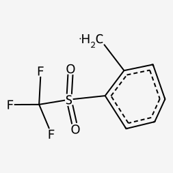 [CH2]c1ccccc1S(=O)(=O)C(F)(F)F